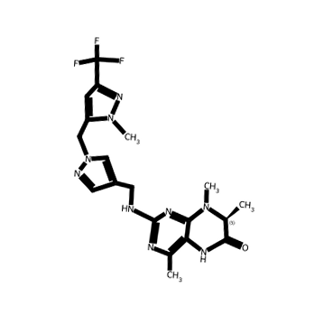 Cc1nc(NCc2cnn(Cc3cc(C(F)(F)F)nn3C)c2)nc2c1NC(=O)[C@H](C)N2C